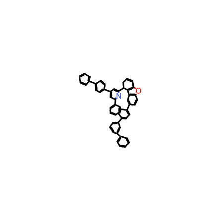 C1=Cc2oc3ccc(-c4ccc(-c5cccc(-c6ccccc6)c5)cc4)cc3c2C(c2cc(-c3ccc(-c4ccccc4)cc3)cc(-c3ccccc3)n2)C1